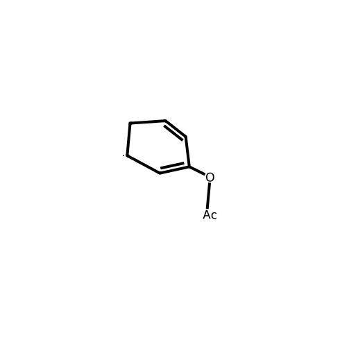 CC(=O)OC1=C[CH]CC=C1